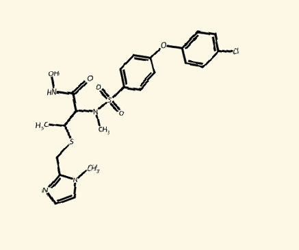 CC(SCc1nccn1C)C(C(=O)NO)N(C)S(=O)(=O)c1ccc(Oc2ccc(Cl)cc2)cc1